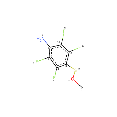 COSc1c(F)c(F)c(N)c(F)c1F